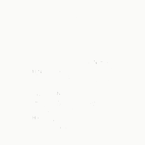 CCCCCC1=C2SC(N(OC(C)(C)C)C(=O)C(N)=O)C(C(=O)OCC)=C2C2CCCN1C2